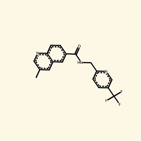 Cc1cnc2ccc(C(=O)NCc3ccc(C(F)(F)F)cn3)cc2c1